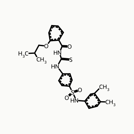 Cc1ccc(NS(=O)(=O)c2ccc(NC(=S)NC(=O)c3ccccc3OCC(C)C)cc2)cc1C